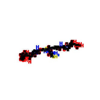 N[C@@H](CS)C(=O)C(=O)NC(SSCCOC(=O)Nc1ccn(C2CC(O)C(COP(=O)(O)OP(=O)(O)OP(=O)(O)O)O2)c(=O)n1)C(=O)NCCCCCC(=O)NCCn1c(=O)ccn(C2CC(O)C(COP(=O)(O)O)O2)c1=O